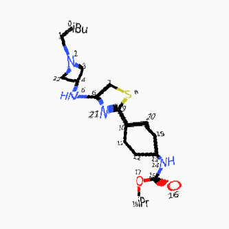 CCC(C)CN1CC(NC2CSC(C3CCC(NC(=O)OC(C)C)CC3)=N2)C1